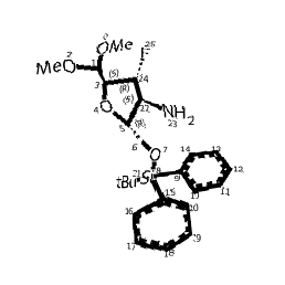 COC(OC)[C@@H]1O[C@@H](CO[Si](c2ccccc2)(c2ccccc2)C(C)(C)C)[C@H](N)[C@H]1F